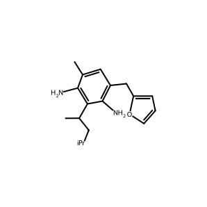 Cc1cc(Cc2ccco2)c(N)c(C(C)CC(C)C)c1N